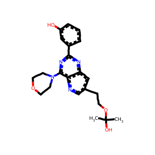 CC(C)(O)OCCc1cnc2c(N3CCOCC3)nc(-c3cccc(O)c3)nc2c1